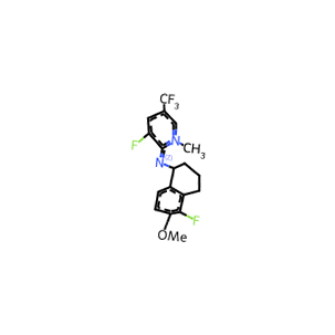 COc1ccc2c(c1F)CCCC2/N=c1/c(F)cc(C(F)(F)F)cn1C